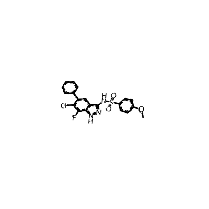 COc1ccc(S(=O)(=O)Nc2n[nH]c3c(F)c(Cl)c(-c4ccccc4)cc23)cc1